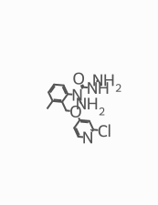 Cc1cccc(N(N)C(=O)NN)c1COc1ccnc(Cl)c1